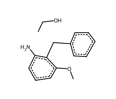 CCO.COc1cccc(N)c1Cc1ccccc1